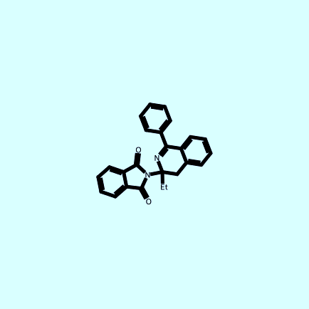 CCC1(N2C(=O)c3ccccc3C2=O)Cc2ccccc2C(c2ccccc2)=N1